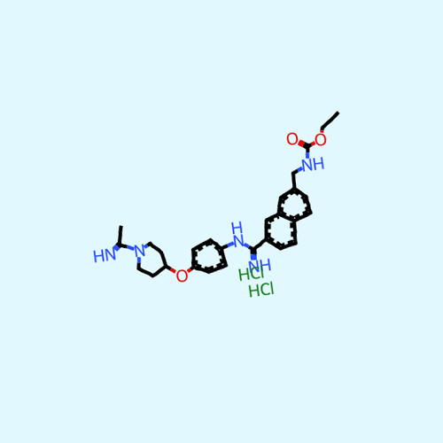 CCOC(=O)NCc1ccc2ccc(C(=N)Nc3ccc(OC4CCN(C(C)=N)CC4)cc3)cc2c1.Cl.Cl